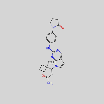 NC(=O)CC(n1ccc2cnc(Nc3ccc(N4CCCC4=O)cc3)nc21)C1(C(=O)O)CCC1